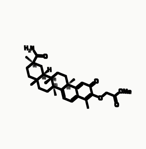 COC(=O)COC1=C(C)C2=CC=C3[C@@](C)(CC[C@@]4(C)[C@@H]5C[C@](C)(C(N)=O)CCC5(C)CC[C@]34C)C2=CC1=O